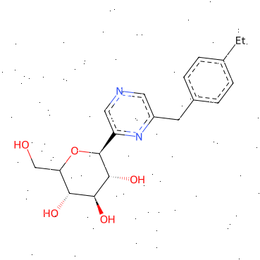 CCc1ccc(Cc2cncc([C@@H]3OC(CO)[C@@H](O)[C@H](O)[C@H]3O)n2)cc1